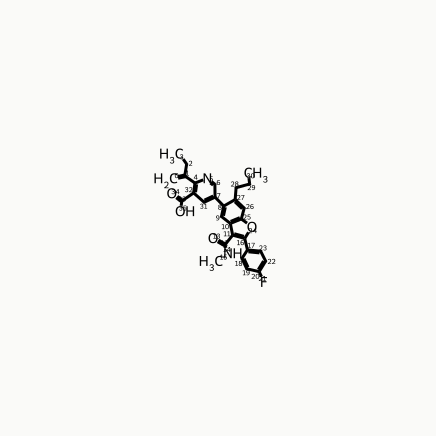 C=C(CC)c1ncc(-c2cc3c(C(=O)NC)c(-c4ccc(F)cc4)oc3cc2CCC)cc1C(=O)O